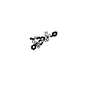 C=CC(=O)NCCCCC(NC(=O)OCc1ccccc1)C(=O)N1CCN(S(=O)(=O)c2ccccc2)CC1